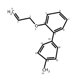 C=CCOc1ccccc1-c1ccc(C)cc1